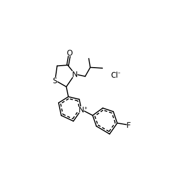 CC(C)CN1C(=O)CSC1c1ccc[n+](-c2ccc(F)cc2)c1.[Cl-]